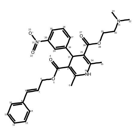 CC1=C(C(=O)OCC=Cc2ccccc2)C(c2cccc([N+](=O)[O-])c2)C(C(=O)OCCN(C)C)=C(C)N1